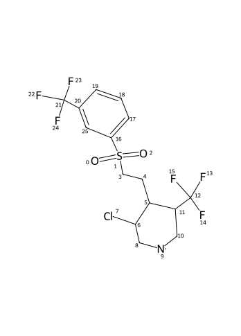 O=S(=O)(CCC1C(Cl)C[N]CC1C(F)(F)F)c1cccc(C(F)(F)F)c1